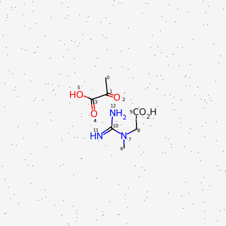 CC(=O)C(=O)O.CN(CC(=O)O)C(=N)N